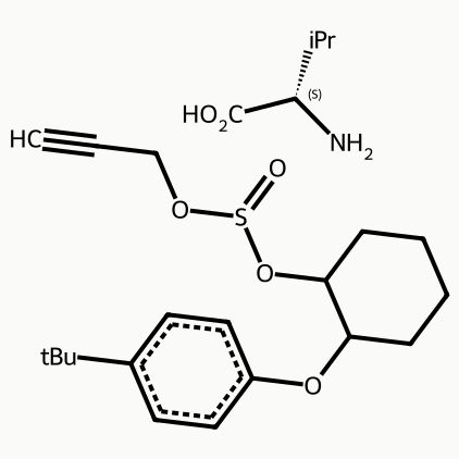 C#CCOS(=O)OC1CCCCC1Oc1ccc(C(C)(C)C)cc1.CC(C)[C@H](N)C(=O)O